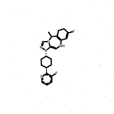 CC1C2=C(C=C(F)CC2)NC=C2N1C=NN2[C@H]1CC[C@H](c2ncccc2F)CC1